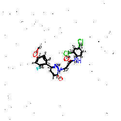 COc1ccc(-c2ccc(=O)n(CC(=O)Nc3ccc(Cl)cc3Cl)n2)c(F)c1